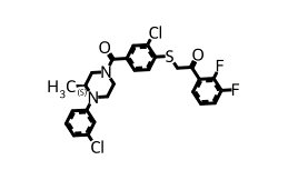 C[C@H]1CN(C(=O)c2ccc(SCC(=O)c3cccc(F)c3F)c(Cl)c2)CCN1c1cccc(Cl)c1